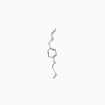 C=CCOc1ccc(COC=C)cc1